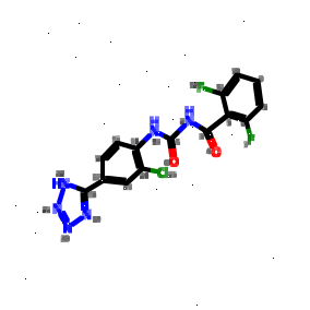 O=C(NC(=O)c1c(F)cccc1F)Nc1ccc(-c2nnn[nH]2)cc1Cl